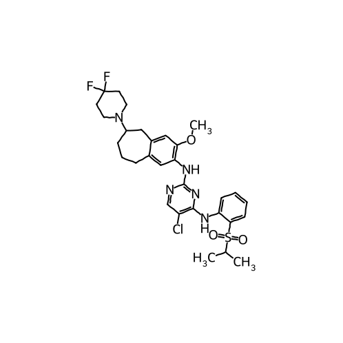 COc1cc2c(cc1Nc1ncc(Cl)c(Nc3ccccc3S(=O)(=O)C(C)C)n1)CCCC(N1CCC(F)(F)CC1)C2